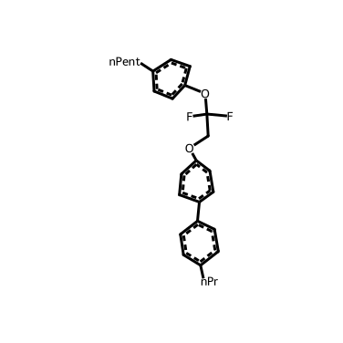 CCCCCc1ccc(OC(F)(F)COc2ccc(-c3ccc(CCC)cc3)cc2)cc1